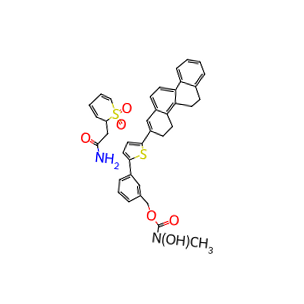 CN(O)C(=O)OCc1cccc(-c2ccc(C3=Cc4ccc5c(c4CC3)CCc3ccccc3-5)s2)c1.NC(=O)CC1C=CC=CS1(=O)=O